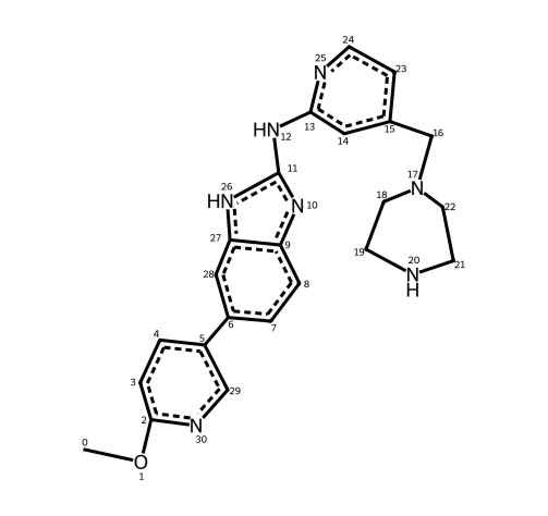 COc1ccc(-c2ccc3nc(Nc4cc(CN5CCNCC5)ccn4)[nH]c3c2)cn1